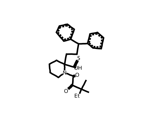 CCC(C)(C)C(=O)C(=O)N1CCCCC1(CCC(c1ccccc1)c1ccccc1)C(O)=S